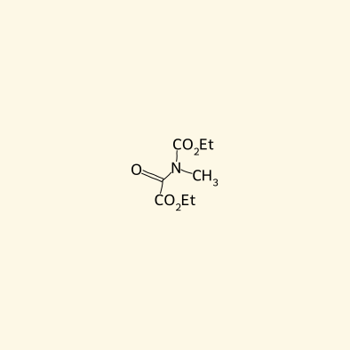 CCOC(=O)C(=O)N(C)C(=O)OCC